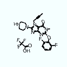 CC#CCn1c(N2CCNCC2)nc2nc(Oc3c(F)cccc3F)n(C)c(=O)c21.O=C(O)C(F)(F)F